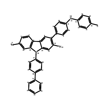 [2H]c1ccc2c3cc(-c4ccc(Nc5ccc(C)cc5)cc4)c([2H])cc3n(-c3ccc(-c4ccccc4)cc3)c2c1